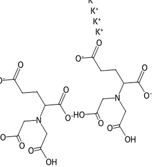 O=C([O-])CCC(C(=O)[O-])N(CC(=O)O)CC(=O)O.O=C([O-])CCC(C(=O)[O-])N(CC(=O)O)CC(=O)O.[K+].[K+].[K+].[K+]